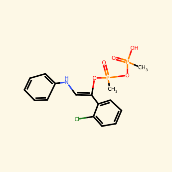 CP(=O)(O)OP(C)(=O)OC(=CNc1ccccc1)c1ccccc1Cl